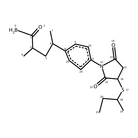 BC(=O)C(C)CC(C)c1ccc(N2C(=O)CC(SC(C)CC)C2=O)cc1